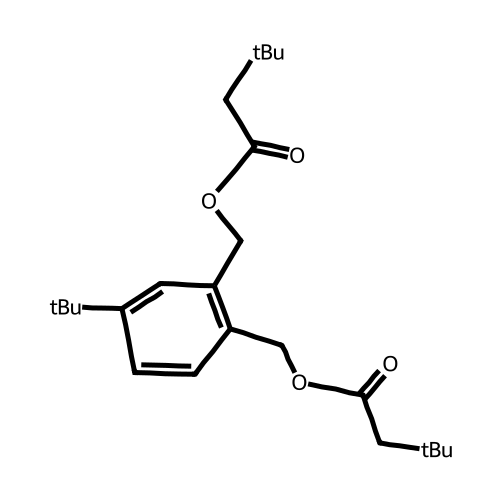 CC(C)(C)CC(=O)OCc1ccc(C(C)(C)C)cc1COC(=O)CC(C)(C)C